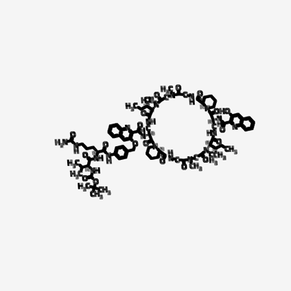 CC[C@H](C)[C@H]1C(=O)NC[C@@H](NC(=O)c2nc3ccccc3cc2OCc2ccc(NC(=O)[C@H](CCCNC(N)=O)NC(=O)[C@@H](NC(=O)OC(C)(C)C)C(C)C)cc2)C(=O)N2CCCC[C@H]2C(=O)NCC(=O)N(C)CC(=O)N(C)[C@@H]([C@@H](C)CC)C(=O)NC[C@@H](NC(=O)c2nc3ccccc3cc2O)C(=O)N2CCCC[C@H]2C(=O)NCC(=O)N(C)CC(=O)N1C